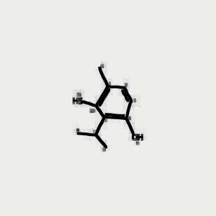 Cc1ccc(O)c(C(C)C)c1S